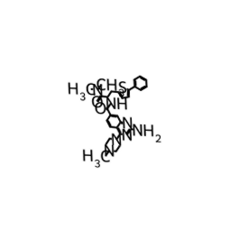 CN1CCN(c2nc(N)nc3cc(C(=O)NC(Cc4ccc(-c5ccccc5)s4)C(=O)N(C)C)ccc23)CC1